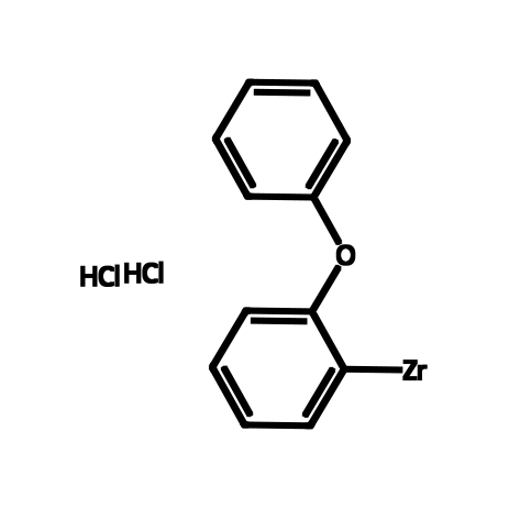 Cl.Cl.[Zr][c]1ccccc1Oc1ccccc1